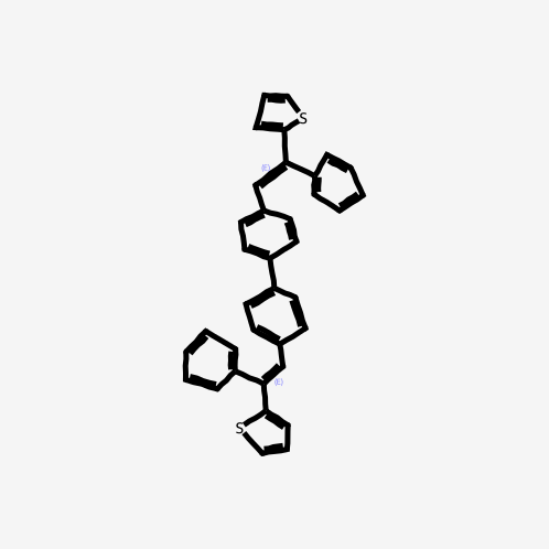 C(=C(/c1ccccc1)c1cccs1)/c1ccc(-c2ccc(/C=C(\c3ccccc3)c3cccs3)cc2)cc1